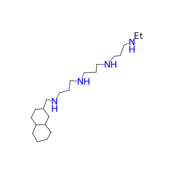 CCNCCCNCCCNCCCNCC1CCC2CCCCC2C1